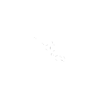 Cc1cn2cc(NC(=O)c3ccc(N4CCC(N(C)C)CC4)c4sc(C)nc34)cc(F)c2n1